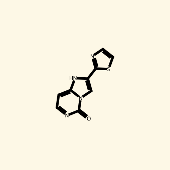 O=c1nccc2[nH]c(-c3nccs3)cn12